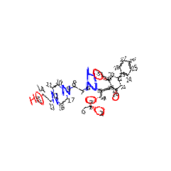 CC(=O)OCC(NCCN1CCN(CCO)CC1)=C1C(=O)CC(c2ccccc2)CC1=O